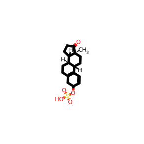 C[C@]12CC[C@@H]3C4=C(CC[C@H]3[C@@H]1CCC2=O)CC(OS(=O)(=O)O)C=C4